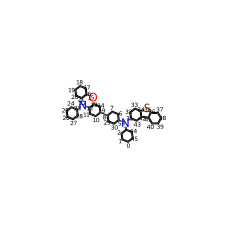 c1ccc(N(c2ccc(-c3ccc4c(c3)Oc3ccccc3N4c3ccccc3)cc2)c2ccc3sc4ccccc4c3c2)cc1